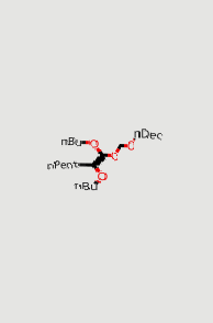 CCCCCCCCCCOCOC(OCCCC)=C(CCCCC)OCCCC